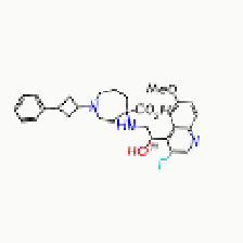 COc1ccc2ncc(F)c([C@@H](O)CNC3(C(=O)O)CCCN(C4CC(c5ccccc5)C4)CC3)c2c1